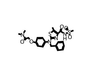 Cc1sc(N(Cc2ccccc2)c2ccc(OCC(=O)N(C)C)cc2)nc1C(=O)NS(C)(=O)=O